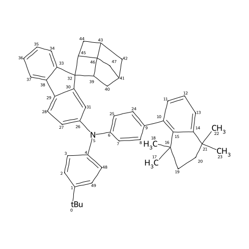 CC(C)(C)c1ccc(N(c2ccc(-c3cccc4c3C(C)(C)CCC4(C)C)cc2)c2ccc3c(c2)C2(c4ccccc4-3)C3CC4CC5CC2C53C4)cc1